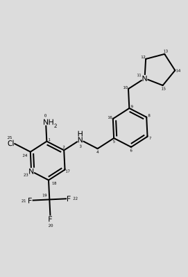 Nc1c(NCc2cccc(CN3CCCC3)c2)cc(C(F)(F)F)nc1Cl